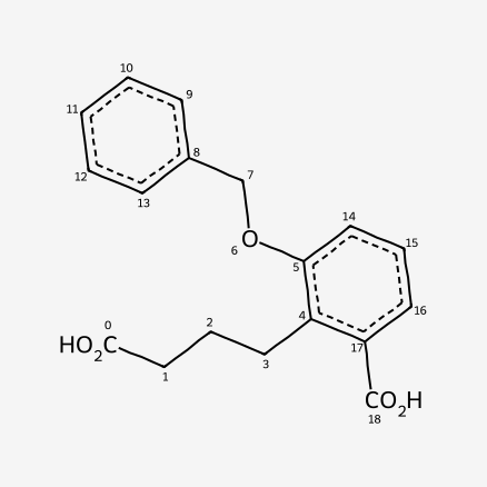 O=C(O)CCCc1c(OCc2ccccc2)cccc1C(=O)O